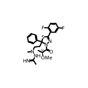 CO[C@@H](C)C(=O)N1N=C(c2cc(F)ccc2F)SC1(CCN(C)NC(C)=N)c1ccccc1